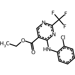 CCOC(=O)c1cnc(C(F)(F)F)nc1Nc1ccccc1Cl